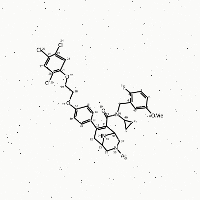 COc1ccc(F)c(CN(C(=O)C2=C(c3ccc(OCCOc4cc(Cl)c(Cl)cc4Cl)cc3)CC3CN(C(C)=O)CC2N3)C2CC2)c1